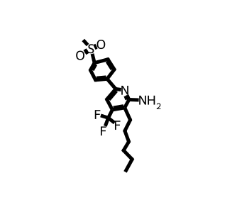 CCCCCCc1c(C(F)(F)F)cc(-c2ccc(S(C)(=O)=O)cc2)nc1N